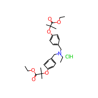 CCOC(=O)C(C)(C)Oc1ccc(CN(CC)Cc2ccc(OC(C)(C)C(=O)OCC)cc2)cc1.Cl